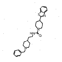 O=C(NCCC1CCN(Cc2ccccc2)CC1)N1CCC(c2nc3ccccc3s2)CC1